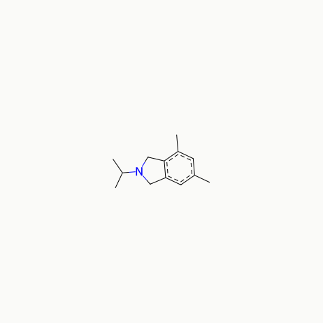 Cc1cc(C)c2c(c1)CN(C(C)C)C2